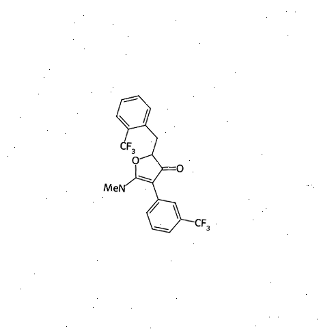 CNC1=C(c2cccc(C(F)(F)F)c2)C(=O)C(Cc2ccccc2C(F)(F)F)O1